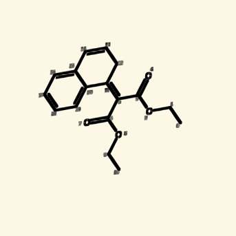 CCOC(=O)C(C(=O)OCC)=C1CC=Cc2ccccc21